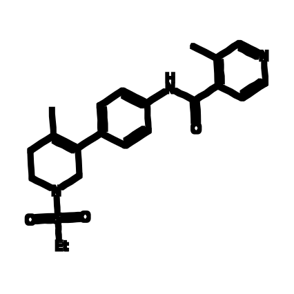 CCS(=O)(=O)N1CCC(C)=C(c2ccc(NC(=O)c3ccncc3C)cc2)C1